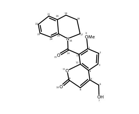 COc1ccc2c(CO)cc(=O)oc2c1C(=O)N1CCCc2ccccc21